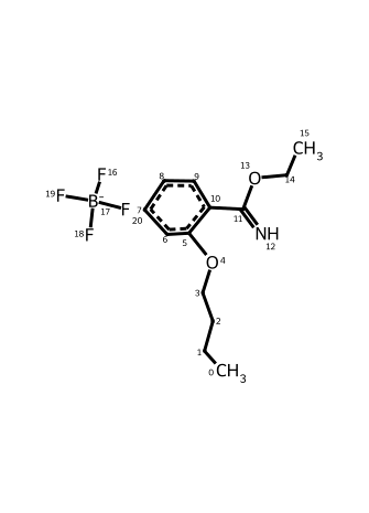 CCCCOc1ccccc1C(=N)OCC.F[B-](F)(F)F